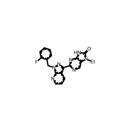 CCn1c(=O)[nH]c2nc(-c3nn(Cc4ccccc4F)c4ncccc34)ncc21